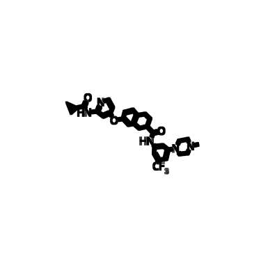 CN1CCN(c2cc(NC(=O)C3CCc4ccc(Oc5ccnc(NC(=O)C6CC6)c5)cc4C3)cc(C(F)(F)F)c2)CC1